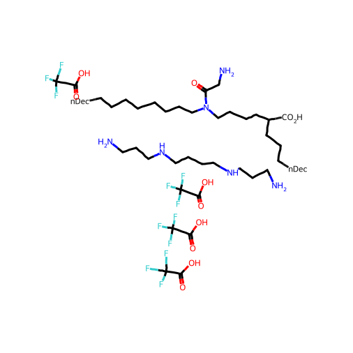 CCCCCCCCCCCCCCCCCCN(CCCCC(CCCCCCCCCCCCC)C(=O)O)C(=O)CN.NCCCNCCCCNCCCN.O=C(O)C(F)(F)F.O=C(O)C(F)(F)F.O=C(O)C(F)(F)F.O=C(O)C(F)(F)F